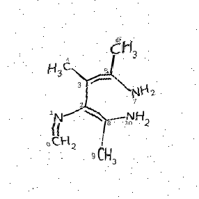 C=NC(/C(C)=C(/C)N)=C(\C)N